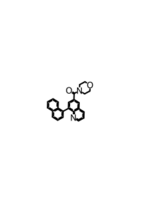 O=C(c1cc(-c2cccc3ccccc23)c2ncccc2c1)N1CCOCC1